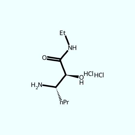 CCC[C@H](N)[C@H](O)C(=O)NCC.Cl.Cl